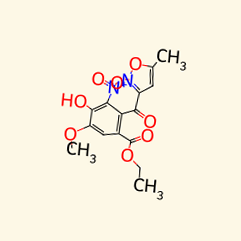 CCOC(=O)c1cc(OC)c(O)c([N+](=O)[O-])c1C(=O)c1cc(C)on1